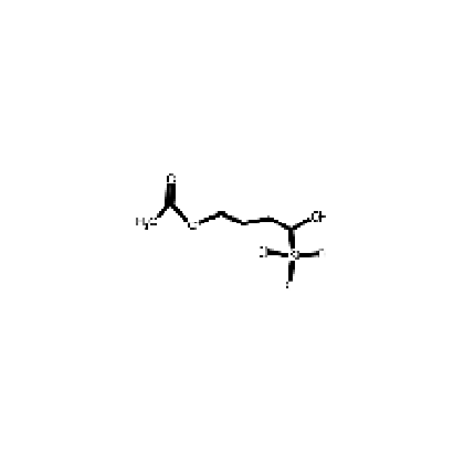 CC(=O)OCCCC(O)[Si](Cl)(Cl)Cl